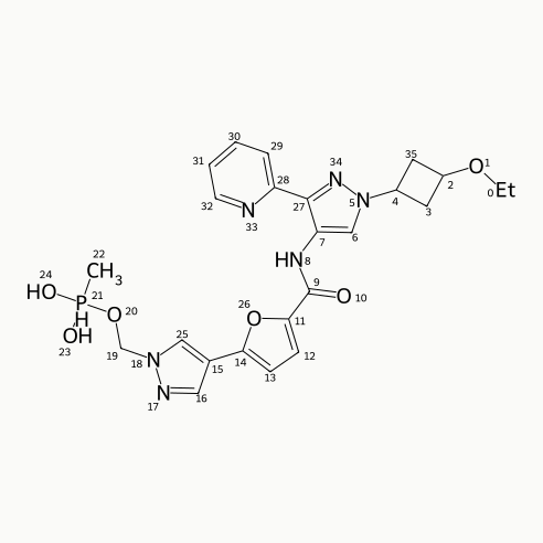 CCOC1CC(n2cc(NC(=O)c3ccc(-c4cnn(CO[PH](C)(O)O)c4)o3)c(-c3ccccn3)n2)C1